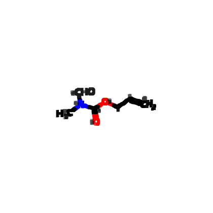 C=CCOC(=O)N(C)C=O